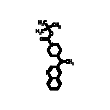 CN(c1cnc2ccccc2c1)C1CCN(C(=O)OC(C)(C)C)CC1